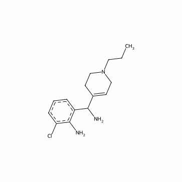 CCCN1CC=C(C(N)c2cccc(Cl)c2N)CC1